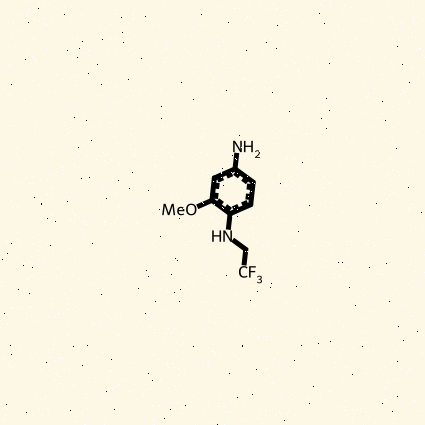 COc1cc(N)ccc1NCC(F)(F)F